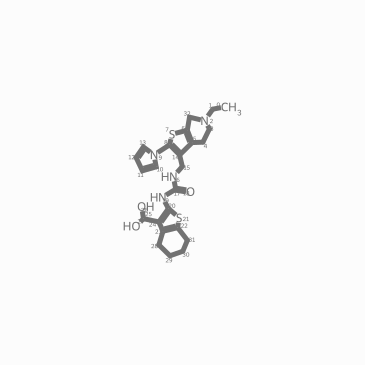 CCN1CCc2c(sc(-n3cccc3)c2CNC(=O)Nc2sc3c(c2C(O)O)CCCC3)C1